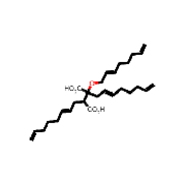 C=CCCCC=CCOC(CC=CCCCC=C)(C(=O)O)C(CC=CCCCC=C)C(=O)O